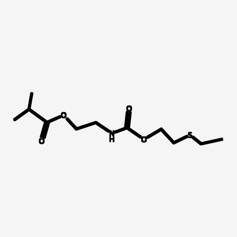 CCSCCOC(=O)NCCOC(=O)C(C)C